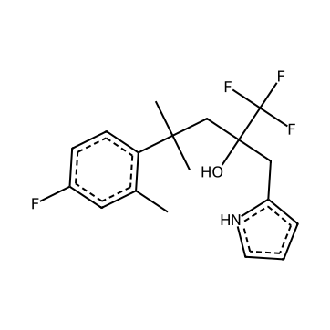 Cc1cc(F)ccc1C(C)(C)CC(O)(Cc1ccc[nH]1)C(F)(F)F